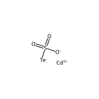 O=S(=O)([O-])[Te-].[Cd+2]